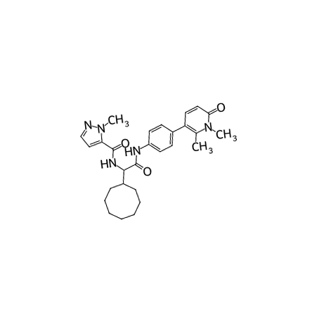 Cc1c(-c2ccc(NC(=O)C(NC(=O)c3ccnn3C)C3CCCCCCC3)cc2)ccc(=O)n1C